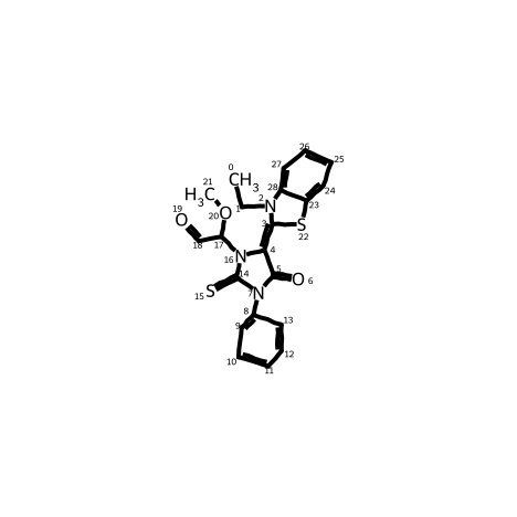 CCN1C(=C2C(=O)N(c3ccccc3)C(=S)N2C(C=O)OC)Sc2ccccc21